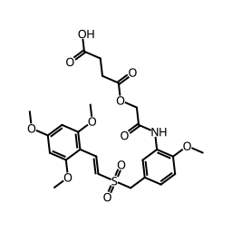 COc1cc(OC)c(/C=C/S(=O)(=O)Cc2ccc(OC)c(NC(=O)COC(=O)CCC(=O)O)c2)c(OC)c1